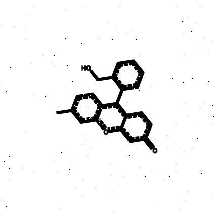 Cc1ccc2c(-c3ccccc3CO)c3ccc(=O)cc-3oc2c1